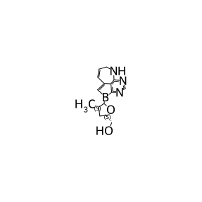 C[C@H]1C[C@@H](CO)OC1B1C=C2C=CCNc3ncnc1c32